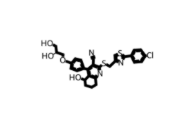 N#Cc1c(SCc2csc(-c3ccc(Cl)cc3)n2)nc2c(c1-c1ccc(OC[C@H](O)CO)cc1)C(O)CCC2